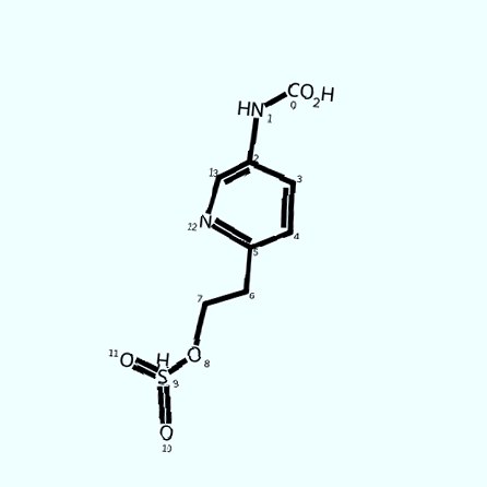 O=C(O)Nc1ccc(CCO[SH](=O)=O)nc1